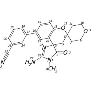 CN1C(=O)C2(CC3(CCOCC3)Oc3ccc(-c4cccc(C#N)c4)cc32)N=C1N